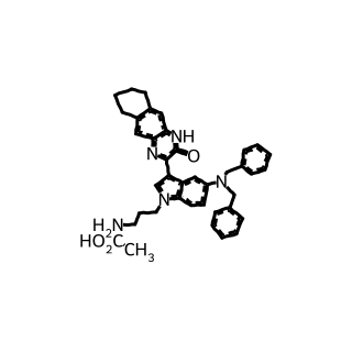 CC(=O)O.NCCCn1cc(-c2nc3cc4c(cc3[nH]c2=O)CCCC4)c2cc(N(Cc3ccccc3)Cc3ccccc3)ccc21